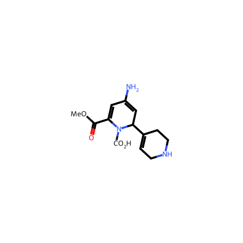 COC(=O)C1=CC(N)=CC(C2=CCNCC2)N1C(=O)O